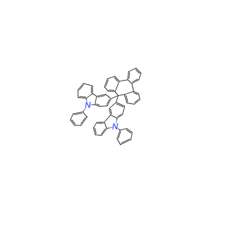 c1ccc(-n2c3ccccc3c3cc(C4(c5ccc6c(c5)c5ccccc5n6-c5ccccc5)c5ccccc5-c5ccccc5-c5ccccc54)ccc32)cc1